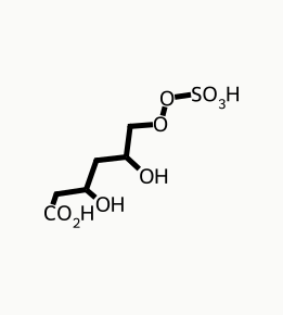 O=C(O)CC(O)CC(O)COOS(=O)(=O)O